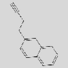 [C]#CCCc1ccc2ccccc2c1